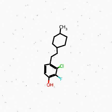 CC1CCC(CCc2ccc(O)c(F)c2Cl)CC1